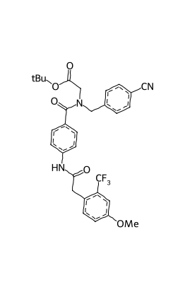 COc1ccc(CC(=O)Nc2ccc(C(=O)N(CC(=O)OC(C)(C)C)Cc3ccc(C#N)cc3)cc2)c(C(F)(F)F)c1